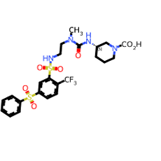 CN(CCNS(=O)(=O)c1cc(S(=O)(=O)c2ccccc2)ccc1C(F)(F)F)C(=O)N[C@H]1CCCN(C(=O)O)C1